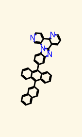 c1ccc2cc(-c3c4ccccc4c(-c4ccc5c(c4)nc4c6cccnc6c6ccncc6n54)c4ccccc34)ccc2c1